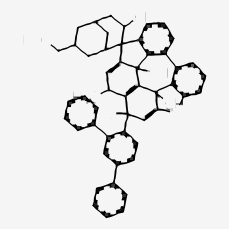 CCC1CC2CC(C)C3(C4=CC(C)C5=C6C7(C)C(=CC5(C)c5ccc(-c8ccccc8)cc5-c5ccccc5)Sc5cccc(c57)-c5cccc3c5C46C)C(C1)C2